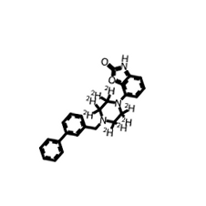 [2H]C1([2H])N(Cc2cccc(-c3ccccc3)c2)C([2H])([2H])C([2H])([2H])N(c2cccc3[nH]c(=O)oc23)C1([2H])[2H]